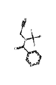 N#CCN(C(=O)c1cccnc1)C(F)(F)F